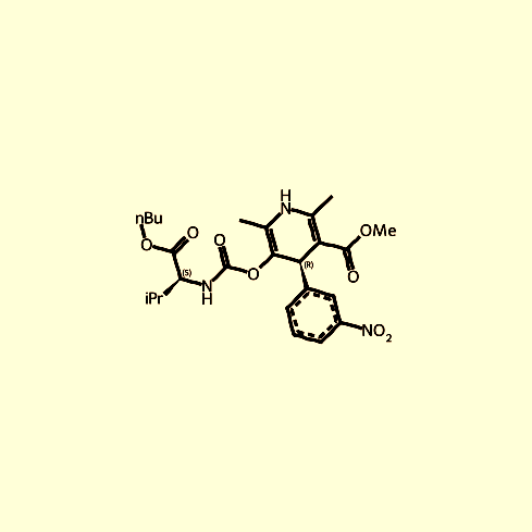 CCCCOC(=O)[C@@H](NC(=O)OC1=C(C)NC(C)=C(C(=O)OC)[C@H]1c1cccc([N+](=O)[O-])c1)C(C)C